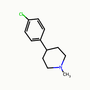 CN1CC[C](c2ccc(Cl)cc2)CC1